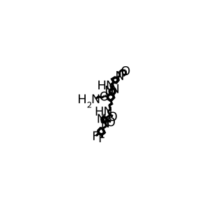 NCCOc1cc(C=CCNC(=O)c2cncn(Cc3ccc(F)c(F)c3)c2=O)cc2cnc(Nc3ccc(N4CCOCC4)cc3)nc12